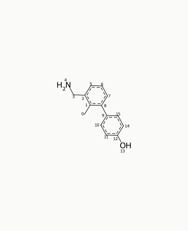 Cc1c(CN)cccc1-c1ccc(O)cc1